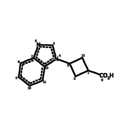 O=C(O)C1CC(n2cnc3ccccc32)C1